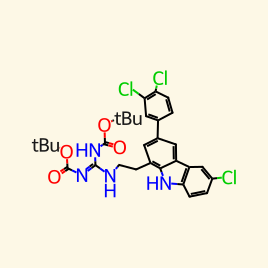 CC(C)(C)OC(=O)N=C(NCCc1cc(-c2ccc(Cl)c(Cl)c2)cc2c1[nH]c1ccc(Cl)cc12)NC(=O)OC(C)(C)C